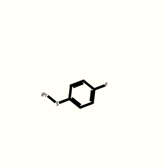 CC(C)Sc1[c]cc(F)cc1